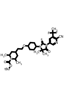 CC1CC(CCOC2CCC(N3C(=S)N(c4cnc(C#N)c(C(C)(F)F)c4)C(=O)C3(C)C)CC2)CC(C)N1C(=O)OC(C)(C)C